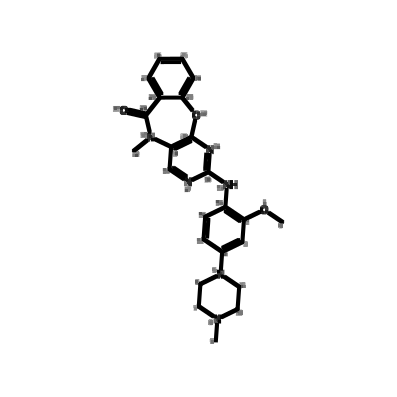 COc1cc(N2CCN(C)CC2)ccc1Nc1ncc2c(n1)Oc1ccccc1C(=O)N2C